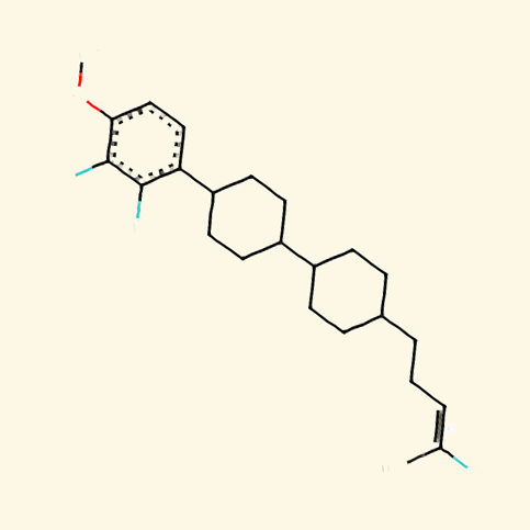 CCCOc1ccc(C2CCC(C3CCC(CC/C=C(/F)CCC)CC3)CC2)c(F)c1F